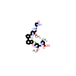 COc1nc(-c2cccc(-c3cccc4c3CCC4Oc3nc(OC)c(CN4C[C@H](C)C[C@H]4C(=O)O)cc3Cl)c2Cl)ccc1CNC[C@@H]1CCC(=O)N1